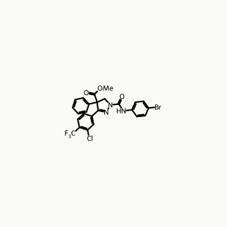 COC(=O)C1(c2ccccc2)CN(C(=O)Nc2ccc(Br)cc2)N=C1c1ccc(C(F)(F)F)c(Cl)c1